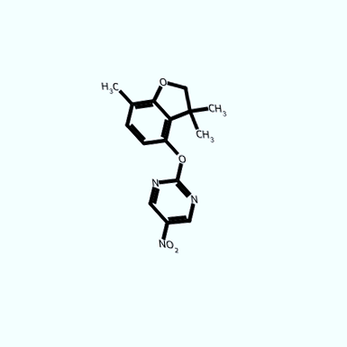 Cc1ccc(Oc2ncc([N+](=O)[O-])cn2)c2c1OCC2(C)C